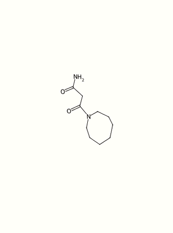 NC(=O)CC(=O)N1CCCCCCC1